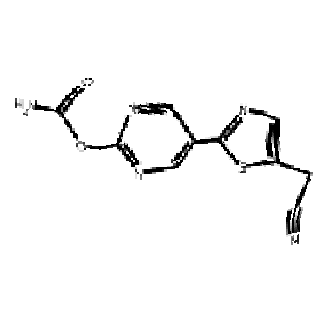 N#CCc1cnc(-c2cnc(OC(N)=O)nc2)s1